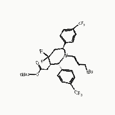 CC(C)(C)CCCN1[C@H](c2ccc(C(F)(F)F)cc2)[C@@H](CC(=O)OC(C)(C)C)C(F)(F)C[C@H]1c1ccc(C(F)(F)F)cc1